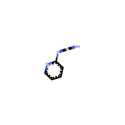 N=C=Nc1ccccn1